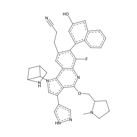 CN1CCCC1COc1nc2c(F)c(-c3cc(O)cc4ccccc34)c(CCC#N)cc2c2c1c(-c1cn[nH]c1)cn2C1C2CNC1C2